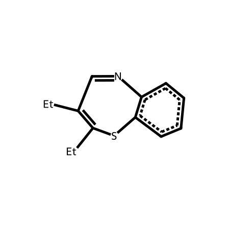 CCC1=C(CC)Sc2ccccc2N=C1